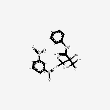 O=C(Nc1ccccc1)C(F)(C(F)(F)F)C(F)(F)F.O=[N+]([O-])c1cccc([N+](=O)[O-])c1